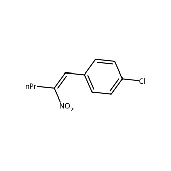 CCC/C(=C/c1ccc(Cl)cc1)[N+](=O)[O-]